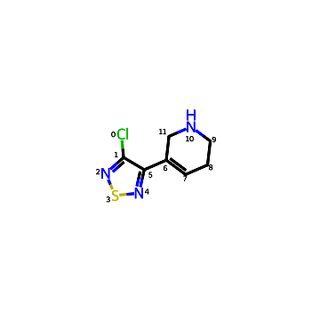 Clc1nsnc1C1=CCCNC1